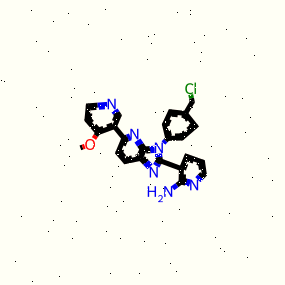 COc1ccncc1-c1ccc2nc(-c3cccnc3N)n(-c3ccc(CCl)cc3)c2n1